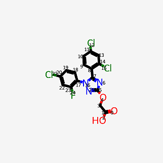 O=C(O)COc1nc(-c2ccc(Cl)cc2Cl)n(-c2ccc(Cl)cc2F)n1